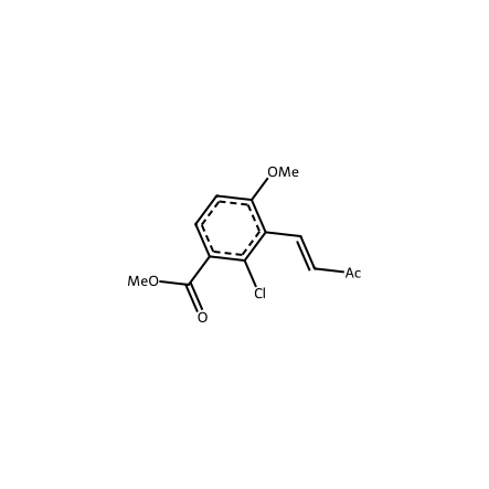 COC(=O)c1ccc(OC)c(/C=C/C(C)=O)c1Cl